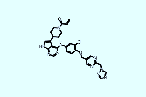 C=CC(=O)N1CCC(c2c[nH]c3ncnc(Nc4ccc(OCc5cnc(Cn6cncn6)nc5)c(Cl)c4)c23)CC1